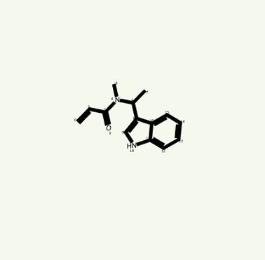 C=CC(=O)N(C)C(C)c1c[nH]c2ccccc12